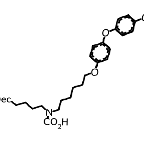 CCCCCCCCCCCCCCN(CCCCCCOc1ccc(Oc2ccc(O)cc2)cc1)C(=O)O